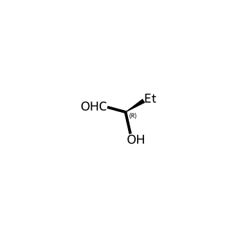 CC[C@@H](O)C=O